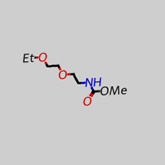 CCOCCOCCNC(=O)OC